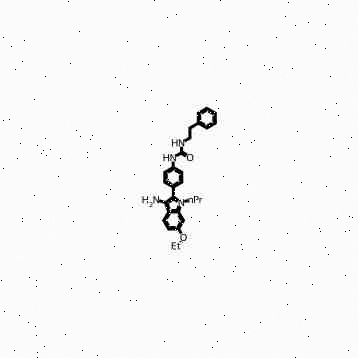 CCCn1c(-c2ccc(NC(=O)NCCc3ccccc3)cc2)c(N)c2ccc(OCC)cc21